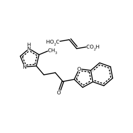 Cc1[nH]cnc1CCC(=O)c1cc2ccccc2o1.O=C(O)C=CC(=O)O